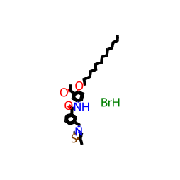 Br.CCCCCCCCCCCCCCOc1ccc(NC(=O)c2cccc(CN3C=C(C)SC3)c2)cc1C(C)=O